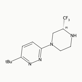 CC(C)(C)c1ccc(N2CCN[C@@H](C(F)(F)F)C2)nn1